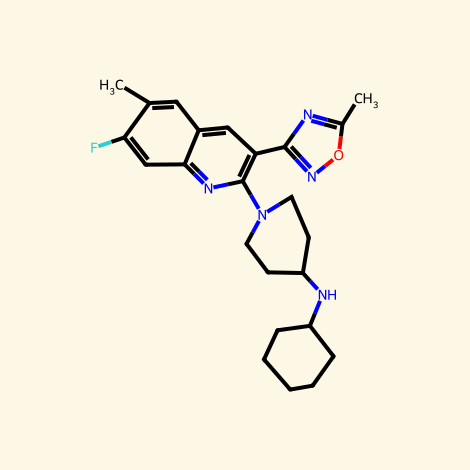 Cc1nc(-c2cc3cc(C)c(F)cc3nc2N2CCC(NC3CCCCC3)CC2)no1